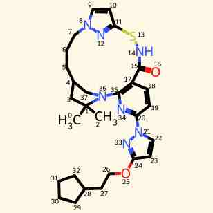 CC1(C)CC2CCCn3ccc(n3)SNC(=O)c3ccc(-n4ccc(OCCC5CCCC5)n4)nc3N1C2